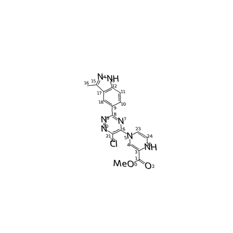 COC(=O)C1=CN(c2nc(-c3ccc4[nH]nc(C)c4c3)nnc2Cl)C=CN1